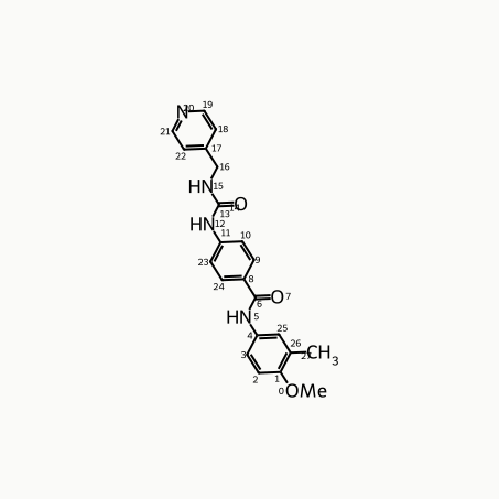 COc1ccc(NC(=O)c2ccc(NC(=O)NCc3ccncc3)cc2)cc1C